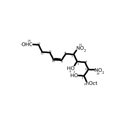 CCCCCCCCC(O)C(CC(O)C(C/C=C\CCC[C]=O)[N+](=O)[O-])[N+](=O)[O-]